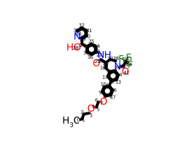 CCCCOCCOc1ccc(-c2ccc3c(c2)C=C(C(=O)Nc2ccc(C(O)c4ccccn4)cc2)CCN3C(=O)C(F)(F)F)cc1